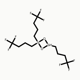 FC(F)(F)CCC[SiH]1O[Si](CCCC(F)(F)F)(CCCC(F)(F)F)O1